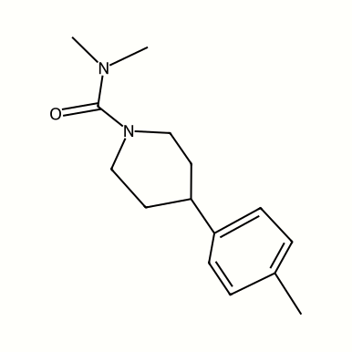 Cc1ccc(C2CCN(C(=O)N(C)C)CC2)cc1